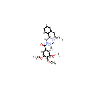 CCN1C(C)Cc2ccccc2C1CNC(=O)c1cc(OC)c(OC)c(OC)c1